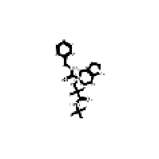 CC(C)(C)NC(=O)C(C)(C)C[N+]1(C(=O)OCc2ccccc2)CCC2=C(CCS2)C1